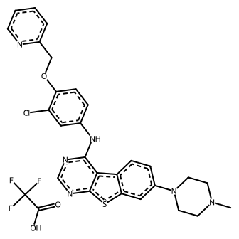 CN1CCN(c2ccc3c(c2)sc2ncnc(Nc4ccc(OCc5ccccn5)c(Cl)c4)c23)CC1.O=C(O)C(F)(F)F